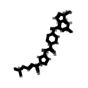 Cc1nc(NC2CCN(C(=O)NC3CCN(C(=O)C=CCN(C)C)C3)CC2)c2ncn(C(C)C)c2n1